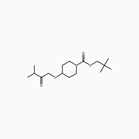 CC(C)C(=O)COC1CCN(C(=O)OCC(C)(C)C)CC1